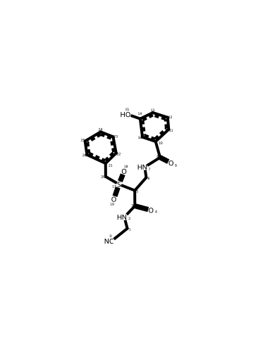 N#CCNC(=O)C(CNC(=O)c1cccc(O)c1)S(=O)(=O)Cc1ccccc1